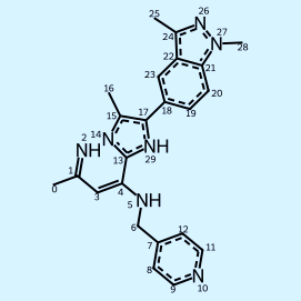 CC(=N)/C=C(/NCc1ccncc1)c1nc(C)c(-c2ccc3c(c2)c(C)nn3C)[nH]1